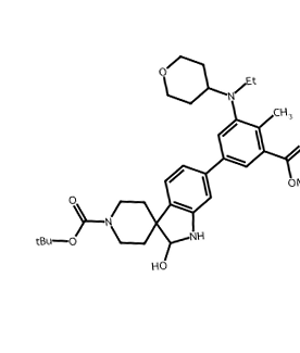 CCN(c1cc(-c2ccc3c(c2)NC(O)C32CCN(C(=O)OC(C)(C)C)CC2)cc(C(=O)OC)c1C)C1CCOCC1